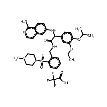 CCOc1cc(C(Nc2ccc3c(N)nccc3c2)C(=O)NCc2ccccc2S(=O)(=O)N2CCN(C)CC2)ccc1OC(C)C.O=C(O)C(F)(F)F